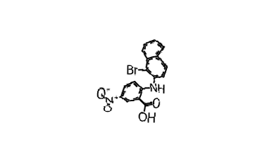 O=C(O)c1cc([N+](=O)[O-])ccc1Nc1ccc2ccccc2c1Br